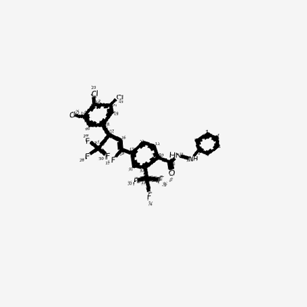 O=C(NNc1ccccc1)c1ccc(C(F)=CC(c2cc(Cl)c(Cl)c(Cl)c2)C(F)(F)F)cc1C(F)(F)F